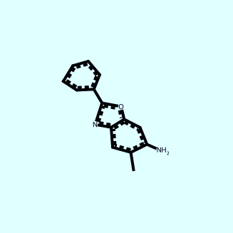 Cc1cc2nc(-c3ccccc3)oc2cc1N